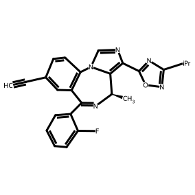 C#Cc1ccc2c(c1)C(c1ccccc1F)=N[C@H](C)c1c(-c3nc(C(C)C)no3)ncn1-2